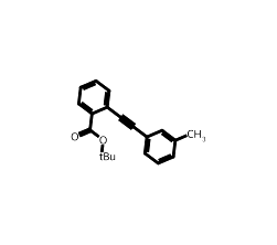 Cc1cccc(C#Cc2ccccc2C(=O)OC(C)(C)C)c1